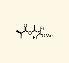 C=C(C)C(=O)OC(C)[Si](CC)(CC)OC